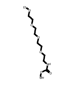 CCOCCOCCOCCOCCNC(=O)OC(C)(C)C